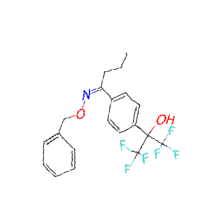 CCC/C(=N/OCc1ccccc1)c1ccc(C(O)(C(F)(F)F)C(F)(F)F)cc1